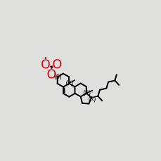 COC(=O)O[C@H]1CC[C@@]2(C)C(=CCC3C2CC[C@@]2(C)C3CC[C@@H]2C(C)CCCC(C)C)C1